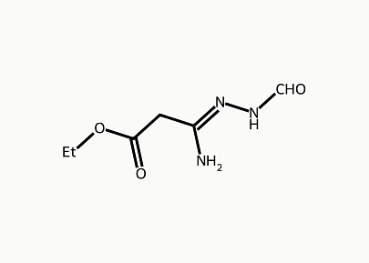 CCOC(=O)C/C(N)=N/NC=O